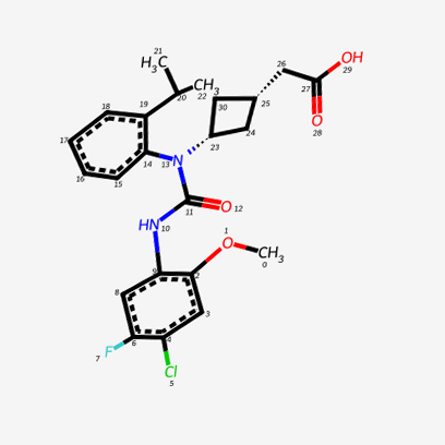 COc1cc(Cl)c(F)cc1NC(=O)N(c1ccccc1C(C)C)[C@H]1C[C@@H](CC(=O)O)C1